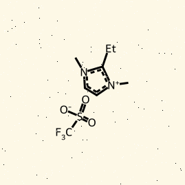 CCc1n(C)cc[n+]1C.O=S(=O)([O-])C(F)(F)F